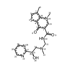 Cc1csc2c(=O)c(C(=O)NCN(C)C[C@@H](O)c3ncccn3)cn(C)c12